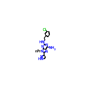 CCCn1c(-c2cc[nH]n2)nc2c(N)nc(NCCc3cccc(Cl)c3)nc21